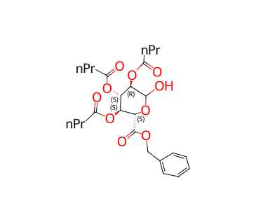 CCCC(=O)O[C@H]1[C@H](OC(=O)CCC)[C@@H](OC(=O)CCC)C(O)O[C@@H]1C(=O)OCc1ccccc1